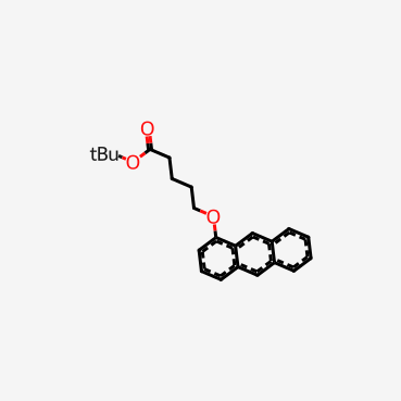 CC(C)(C)OC(=O)CCCCOc1cccc2cc3ccccc3cc12